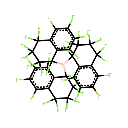 Fc1c(F)c(F)c2c(c1F)C(F)(F)C(F)(F)C(F)(F)C2(F)B(C1(F)c2c(F)c(F)c(F)c(F)c2C(F)(F)C(F)(F)C1(F)F)C1(F)c2c(F)c(F)c(F)c(F)c2C(F)(F)C(F)(F)C1(F)F